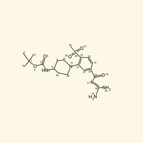 CC(C)(C)OC(=O)NC1CCN(c2cc(C(=O)N=C(N)N)ccc2S(C)(=O)=O)CC1